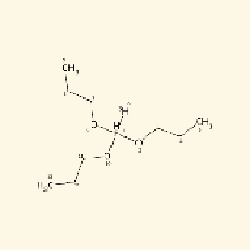 [3H][PH](OCCC)(OCCC)OCCC